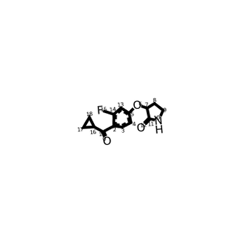 O=C(c1ccc(OC2CCNC2=O)cc1F)C1CC1